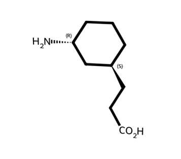 N[C@@H]1CCC[C@@H](CCC(=O)O)C1